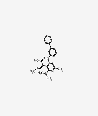 COC=C(C(=O)O)c1c(Oc2cccc(-c3ccccc3)c2)nc(C)nc1N(C)C